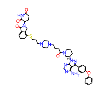 Nc1ncnc2c1c(-c1ccc(Oc3ccccc3)cc1)nn2[C@@H]1CCCN(C(=O)CCCN2CCN(CCCSc3cccc4c3CN(C3CCC(=O)NC3=O)C4=O)CC2)C1